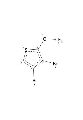 FC(F)(F)Oc1scc(Br)c1Br